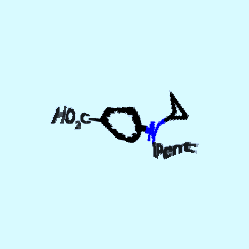 CCCC(C)N(c1ccc(C(=O)O)cc1)C1CC1